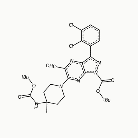 CC1(NC(=O)OC(C)(C)C)CCN(c2nc3c(nc2C=O)c(-c2cccc(Cl)c2Cl)nn3C(=O)OC(C)(C)C)CC1